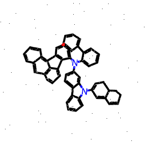 C1=CC2=CC(n3c4ccccc4c4ccc(N(c5ccccc5-c5ccccc5)c5cccc6c5-c5cccc7cc8ccccc8c-6c57)cc43)=CCC2CC1